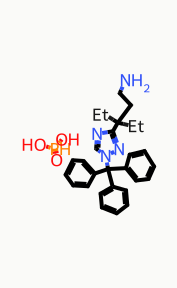 CCC(CC)(CCN)c1ncn(C(c2ccccc2)(c2ccccc2)c2ccccc2)n1.O=[PH](O)O